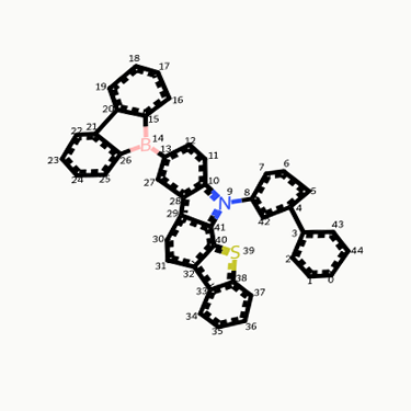 c1ccc(-c2cccc(-n3c4ccc(B5c6ccccc6-c6ccccc65)cc4c4ccc5c6ccccc6sc5c43)c2)cc1